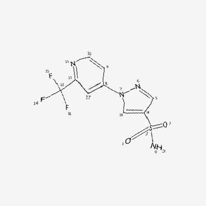 NS(=O)(=O)c1cnn(-c2ccnc(C(F)(F)F)c2)c1